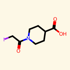 O=C(O)C1CCN(C(=O)CI)CC1